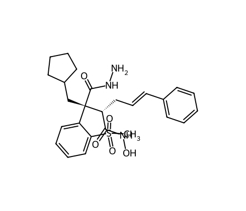 CS(=O)(=O)c1ccccc1[C@](CC1CCCC1)(C(=O)NN)[C@H](C/C=C/c1ccccc1)C(=O)NO